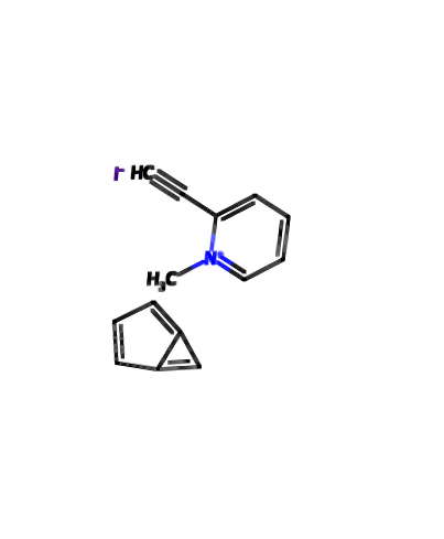 C#Cc1cccc[n+]1C.[I-].c1cc2cc-2c1